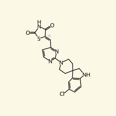 O=C1NC(=O)/C(=C/c2ccnc(N3CCC4(CC3)CNc3ccc(Cl)cc34)n2)S1